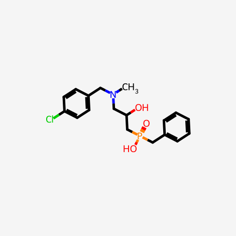 CN(Cc1ccc(Cl)cc1)CC(O)CP(=O)(O)Cc1ccccc1